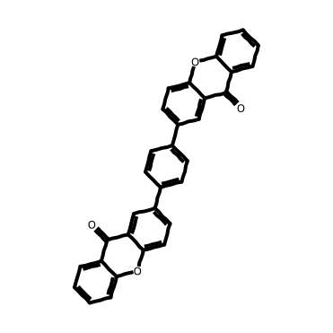 O=c1c2ccccc2oc2ccc(-c3ccc(-c4ccc5oc6ccccc6c(=O)c5c4)cc3)cc12